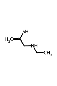 C=C(S)CNCC